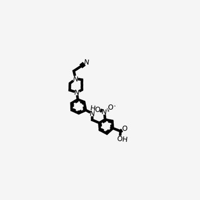 N#CCN1CCN(c2cccc(NCc3ccc(C(=O)O)cc3[N+](=O)[O-])c2)CC1